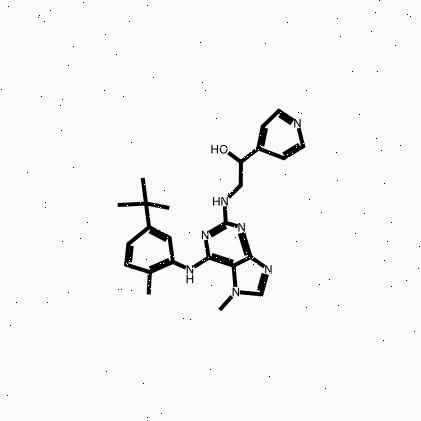 Cc1ccc(C(C)(C)C)cc1Nc1nc(NCC(O)c2ccncc2)nc2ncn(C)c12